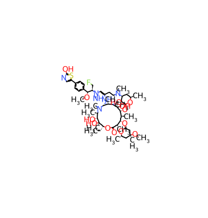 CC[C@H]1OC(=O)[C@H](C)[C@@H](O[C@H]2C[C@@](C)(OC)C[C@H](C)O2)[C@H](C)[C@@H](O[C@@H]2O[C@H](C)C[C@H](N(C)CC/C(N)=C/N(N)[C@H](CF)[C@H](OC)c3ccc(-c4cnc(O)s4)cc3)[C@H]2O)[C@](C)(O)C[C@@H](C)CN(C)[C@H](C)[C@@H](O)[C@]1(C)O